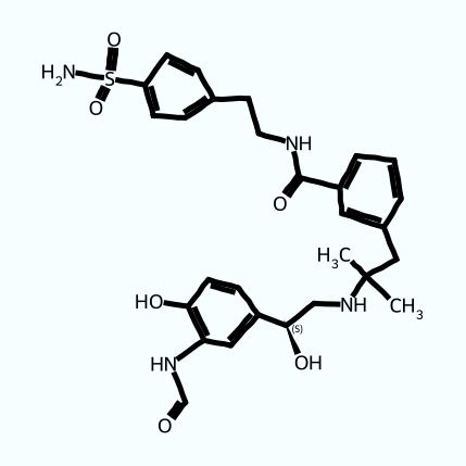 CC(C)(Cc1cccc(C(=O)NCCc2ccc(S(N)(=O)=O)cc2)c1)NC[C@@H](O)c1ccc(O)c(NC=O)c1